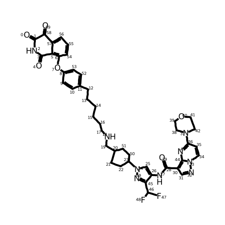 O=C1NC(=O)c2c(Oc3ccc(CCCCCCNCC4CCC(n5cc(NC(=O)c6cnn7ccc(N8CCOCC8)nc67)c(C(F)F)n5)CC4)cc3)cccc2C1=O